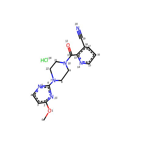 COc1ccnc(N2CCN(C(=O)c3ncccc3C#N)CC2)n1.Cl